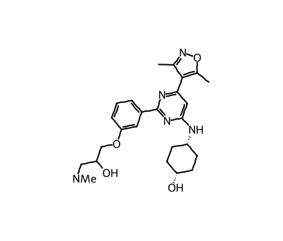 CNCC(O)COc1cccc(-c2nc(N[C@H]3CC[C@@H](O)CC3)cc(-c3c(C)noc3C)n2)c1